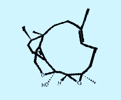 C/C1=C\CC[C@@]2(C)O[C@@H]2[C@@]2(O)OCC3=C2CC[C@@H](C)[C@]3(C)CC1